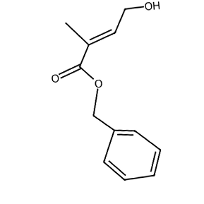 CC(=CCO)C(=O)OCc1ccccc1